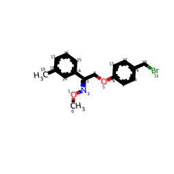 CON=C(COc1ccc(CBr)cc1)c1cccc(C)c1